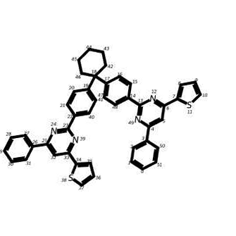 c1ccc(-c2cc(-c3cccs3)nc(-c3ccc(C4(c5ccc(-c6nc(-c7ccccc7)cc(-c7cccs7)n6)cc5)CCCCC4)cc3)n2)cc1